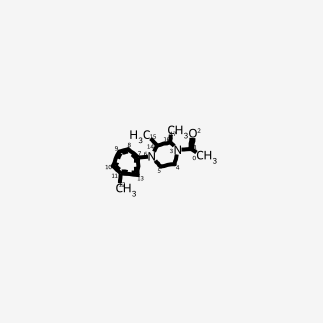 CC(=O)N1CCN(c2cccc(C)c2)C(C)C1C